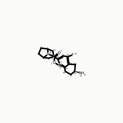 CC(C)(C)OC(=O)N1C2CCC1CN(c1cc(F)c3c(n1)CC[C@H](N)C3)C2